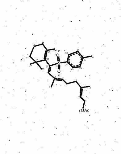 CC(=O)OCC=C(C)CCC=C(C)C=C(C1=C(C)CCCC1(C)C)S(=O)(=O)c1ccc(C)cc1